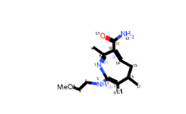 CC/C1=C(NCCOC)/N=C(C)\C(C(N)=O)=C\CC1C